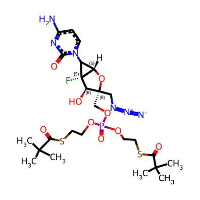 CC(C)(C)C(=O)SCCOP(=O)(OCCSC(=O)C(C)(C)C)OC[C@@]1(CN=[N+]=[N-])O[C@H]2C(n3ccc(N)nc3=O)[C@]2(F)[C@@H]1O